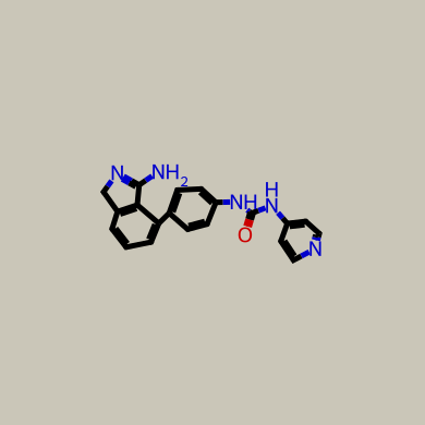 NC1=NCc2cccc(-c3ccc(NC(=O)Nc4ccncc4)cc3)c21